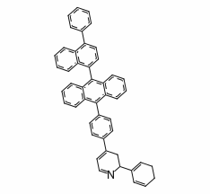 C1=CC(C2CC(c3ccc(-c4c5ccccc5c(-c5ccc(-c6ccccc6)c6ccccc56)c5ccccc45)cc3)=CC=N2)=CCC1